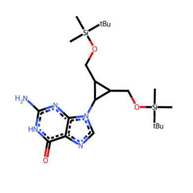 CC(C)(C)[Si](C)(C)OCC1C(CO[Si](C)(C)C(C)(C)C)C1n1cnc2c(=O)[nH]c(N)nc21